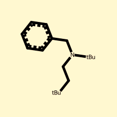 CC(C)(C)CCN(Cc1ccccc1)C(C)(C)C